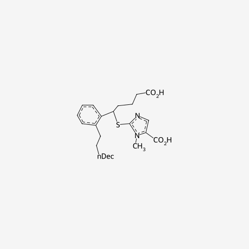 CCCCCCCCCCCCc1ccccc1C(CCCC(=O)O)Sc1ncc(C(=O)O)n1C